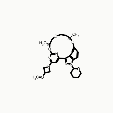 COC1CN(c2cc3nc(n2)O[C@H](C)COCC[C@H](C)Oc2ccc4c(c2)c-3nn4C2CCCCO2)C1